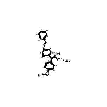 CCOC(=O)c1[nH]c2cc(OCc3ccccc3)ccc2c1-c1ccc(OC(C)C)cc1